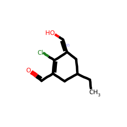 CCC1CC(C=O)=C(Cl)/C(=C\O)C1